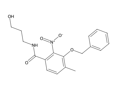 Cc1ccc(C(=O)NCCCO)c([N+](=O)[O-])c1OCc1ccccc1